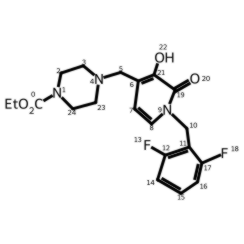 CCOC(=O)N1CCN(Cc2ccn(Cc3c(F)cccc3F)c(=O)c2O)CC1